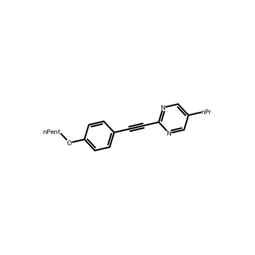 CCCCCOc1ccc(C#Cc2ncc(CCC)cn2)cc1